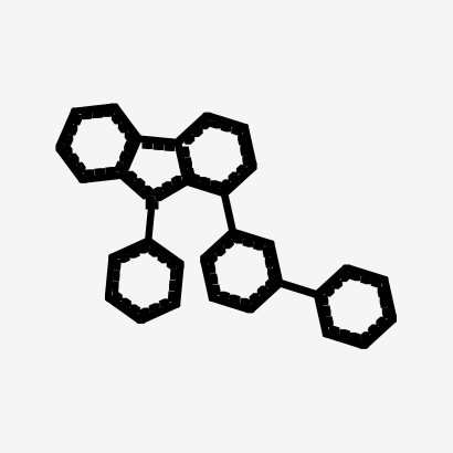 c1ccc(-c2cccc(-c3cccc4c5ccccc5n(-c5ccccc5)c34)c2)cc1